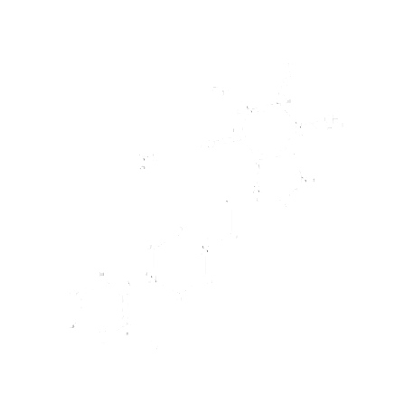 Cn1c(=O)c2c(ncn2CCN2CCN(c3ccccc3Cl)CC2)n(C)c1=O.N